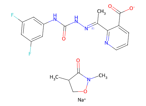 C/C(=N\NC(=O)Nc1cc(F)cc(F)c1)c1ncccc1C(=O)[O-].CC1CON(C)C1=O.[Na+]